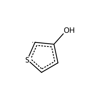 Oc1[c]scc1